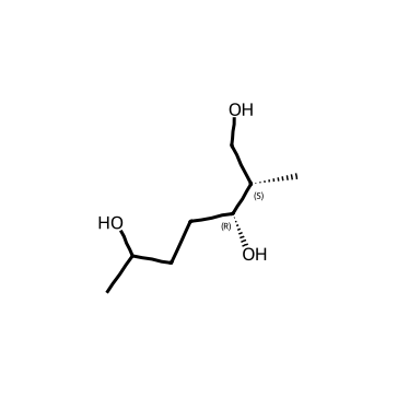 CC(O)CC[C@@H](O)[C@@H](C)CO